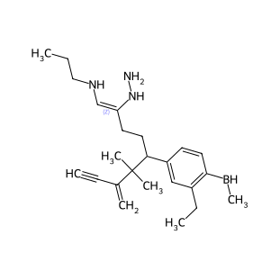 C#CC(=C)C(C)(C)C(CC/C(=C/NCCC)NN)c1ccc(BC)c(CC)c1